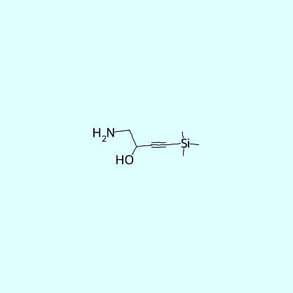 C[Si](C)(C)C#CC(O)CN